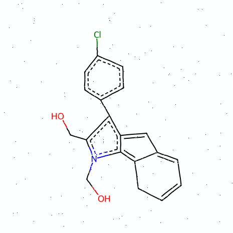 OCc1c(-c2ccc(Cl)cc2)c2c(n1CO)=C1CC=CC=C1C=2